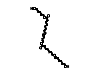 O=C(CCSCCCOOCSCOC(=O)SCCSCCOOCSCSCO)OCSCSCO